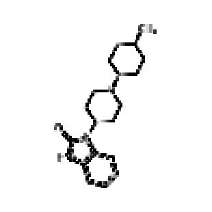 C[C@H]1CC[C@@H](N2CCC(n3c(=O)[nH]c4ccccc43)CC2)CC1